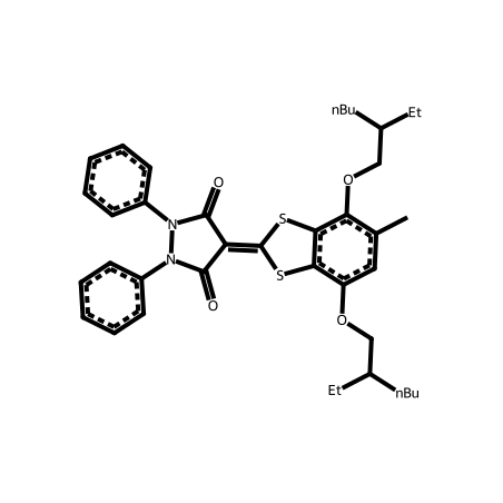 CCCCC(CC)COc1cc(C)c(OCC(CC)CCCC)c2c1SC(=C1C(=O)N(c3ccccc3)N(c3ccccc3)C1=O)S2